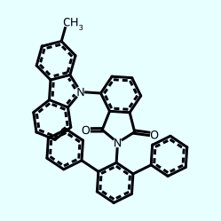 Cc1ccc2c3ccccc3n(-c3cccc4c3C(=O)N(c3c(-c5ccccc5)cccc3-c3ccccc3)C4=O)c2c1